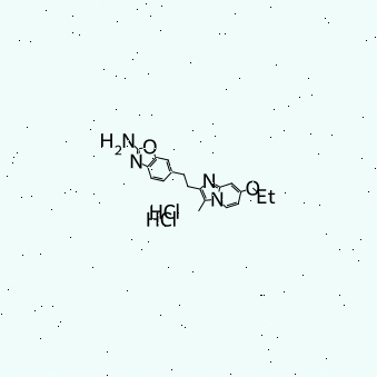 CCOc1ccn2c(C)c(CCc3ccc4nc(N)oc4c3)nc2c1.Cl.Cl